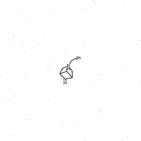 CC(C)CN1CC2NC(C1)C2C(C)C